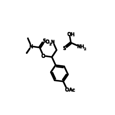 CC(=O)Oc1ccc(C(C[N+](=O)[O-])OC(=S)N(C)C)cc1.NC(O)=S